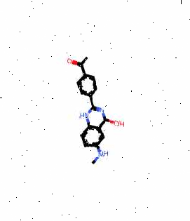 CNc1ccc2c(c1)C(O)N=C(c1ccc(C(C)=O)cc1)N2